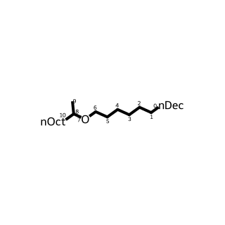 CCCCCCCCCCCCCCCCOC(C)CCCCCCCC